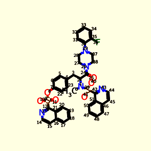 CN(C(Cc1ccc(OS(=O)(=O)c2nccc3ccccc23)cc1)C(=O)N1CCN(c2ccccc2F)CC1)S(=O)(=O)c1nccc2ccccc12